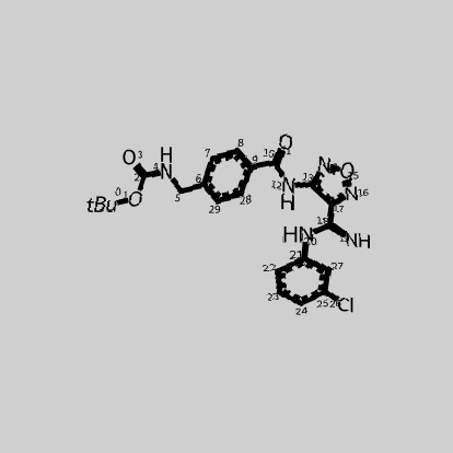 CC(C)(C)OC(=O)NCc1ccc(C(=O)Nc2nonc2C(=N)Nc2cccc(Cl)c2)cc1